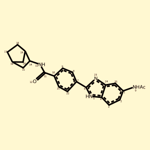 CC(=O)Nc1ccc2[nH]c(-c3ccc(C(=O)NC4CC5CCC4C5)cc3)nc2c1